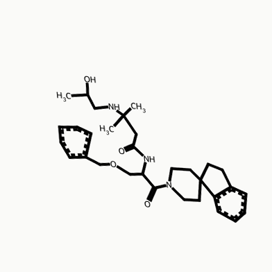 CC(O)CNC(C)(C)CC(=O)NC(COCc1ccccc1)C(=O)N1CCC2(CCc3ccccc32)CC1